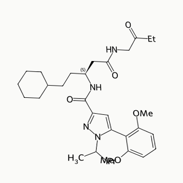 CCC(=O)CNC(=O)C[C@H](CCC1CCCCC1)NC(=O)c1cc(-c2c(OC)cccc2OC)n(C(C)C(C)C)n1